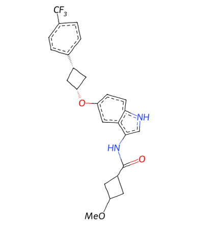 COC1CC(C(=O)Nc2c[nH]c3ccc(O[C@H]4C[C@@H](c5ccc(C(F)(F)F)cc5)C4)cc23)C1